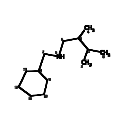 CC(C)C(C)CNCC1CCCCC1